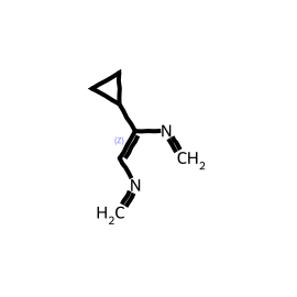 C=N/C=C(\N=C)C1CC1